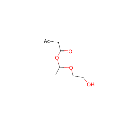 CC(=O)CC(=O)OC(C)OCCO